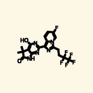 CC1(C)C(=O)Nc2nc(-c3nc(CCC(F)(F)C(F)(F)F)n4cc(F)ccc34)nc(O)c21